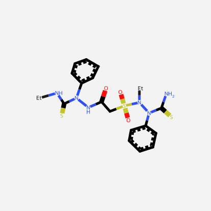 CCNC(=S)N(NC(=O)CS(=O)(=O)N(CC)N(C(N)=S)c1ccccc1)c1ccccc1